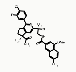 COc1cc(C(=O)NC[C@](O)(c2cc3c(c(-c4ccc(Cl)c(F)c4)n2)OC[C@]3(C)C(N)=O)C(F)(F)F)cc2cc(C)cnc12